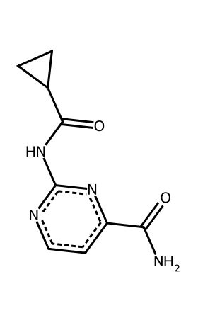 NC(=O)c1ccnc(NC(=O)C2CC2)n1